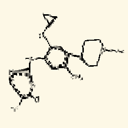 CC(=O)N1CCC(c2cc(OC3CC3)c(Nc3ncc(C(F)(F)F)c(Cl)n3)cc2C)CC1